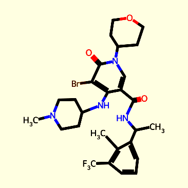 Cc1c(C(C)NC(=O)c2cn(C3CCOCC3)c(=O)c(Br)c2NC2CCN(C)CC2)cccc1C(F)(F)F